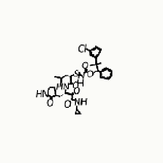 CC(C)C[C@H](SNC(=O)O[C@H](c1ccccc1)C(C)(C)c1cccc(Cl)c1)C(=O)N[C@@H](C[C@@H]1CCNC1=O)C(=O)C(=O)NC1CC1